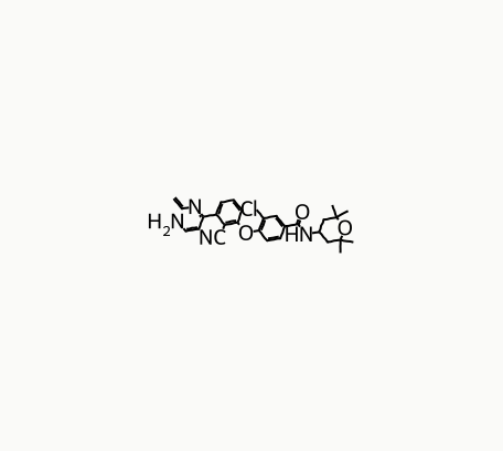 C=C/N=C(\C=C/N)c1cccc(Oc2ccc(C(=O)NC3CC(C)(C)OC(C)(C)C3)cc2Cl)c1C#N